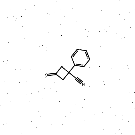 N#CC1(c2ccccc2)CC(=O)C1